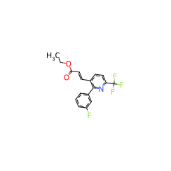 CCOC(=O)C=Cc1ccc(C(F)(F)F)nc1-c1cccc(F)c1